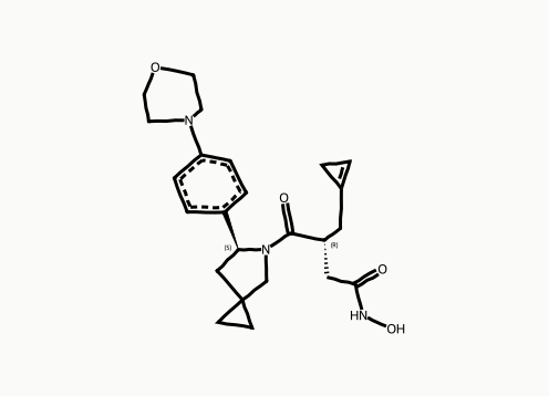 O=C(C[C@@H](CC1=CC1)C(=O)N1CC2(CC2)C[C@H]1c1ccc(N2CCOCC2)cc1)NO